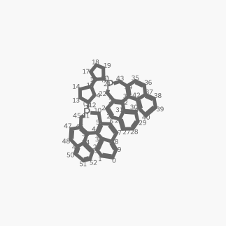 c1ccc2c3c(ccc2c1)CP([C@H]1CCC(C2CCC[C@@H]2P2Cc4ccc5ccccc5c4-c4c(ccc5ccccc45)C2)C1)Cc1ccc2ccccc2c1-3